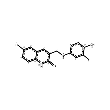 Cc1cc(NCc2cc3cc(Cl)ccc3[nH]c2=O)ccc1C#N